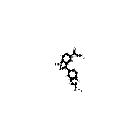 Cc1nc2ccc(-c3n[nH]c4ccc(C(N)=O)cc34)cc2s1